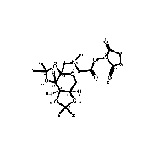 CN(CC(=O)ON1C(=O)CCC1=O)C[C@@]12OC[C@H]3OC(C)(C)O[C@H]3[C@@H]1OC(C)(C)O2